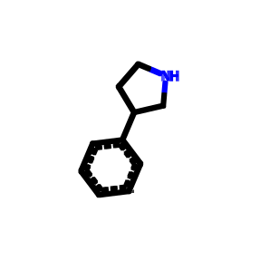 [c]1cccc(C2CCNC2)c1